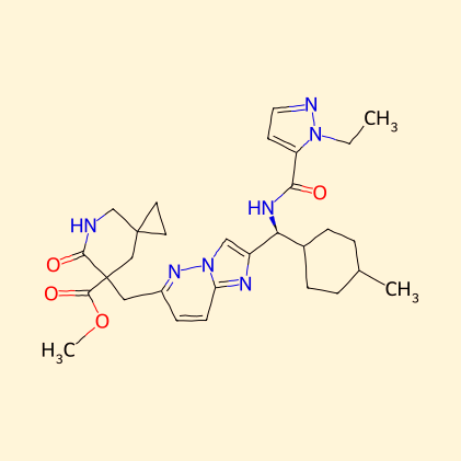 CCn1nccc1C(=O)N[C@H](c1cn2nc(CC3(C(=O)OC)CC4(CC4)CNC3=O)ccc2n1)C1CCC(C)CC1